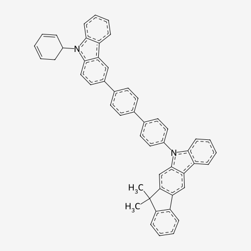 CC1(C)c2ccccc2-c2cc3c4ccccc4n(-c4ccc(-c5ccc(-c6ccc7c(c6)c6ccccc6n7C6C=CC=CC6)cc5)cc4)c3cc21